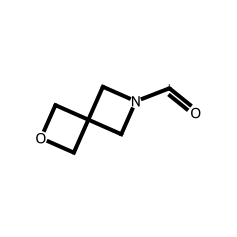 O=[C]N1CC2(COC2)C1